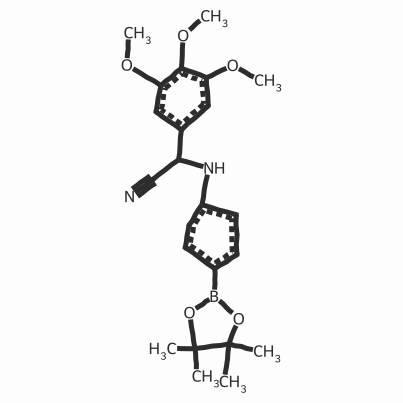 COc1cc(C(C#N)Nc2ccc(B3OC(C)(C)C(C)(C)O3)cc2)cc(OC)c1OC